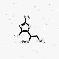 CCCCCC(C[N+](=O)[O-])c1sc(N)nc1CCCC